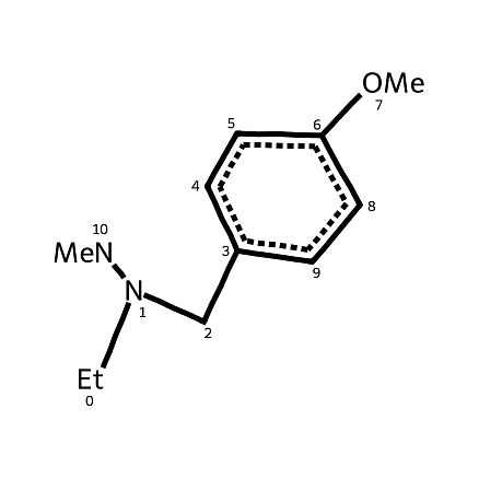 CCN(Cc1ccc(OC)cc1)NC